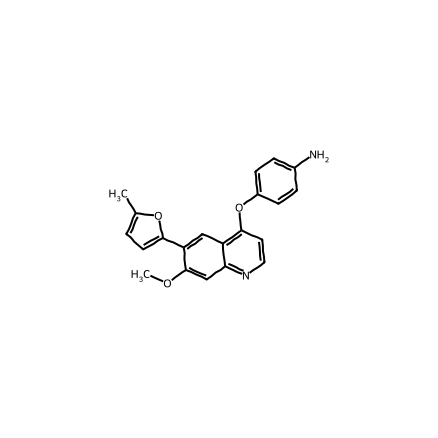 COc1cc2nccc(Oc3ccc(N)cc3)c2cc1-c1ccc(C)o1